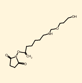 C=C(CCCCCNCOCCCO)ON1C(=O)CCC1=O